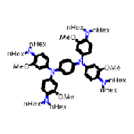 CCCCCCN(CCCCCC)c1ccc(N(c2ccc(N(c3ccc(N(CCCCCC)CCCCCC)c(OC)c3)c3ccc(N(CCCCCC)CCCCCC)c(OC)c3)cc2)c2ccc(N(CCCCCC)CCCCCC)c(OC)c2)cc1OC